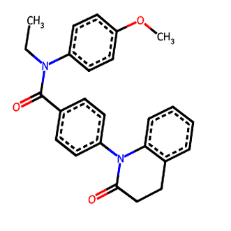 CCN(C(=O)c1ccc(N2C(=O)CCc3ccccc32)cc1)c1ccc(OC)cc1